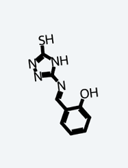 Oc1ccccc1/C=N/c1nnc(S)[nH]1